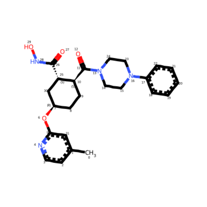 Cc1ccnc(O[C@@H]2CC[C@H](C(=O)N3CCN(c4ccccc4)CC3)[C@@H](C(=O)NO)C2)c1